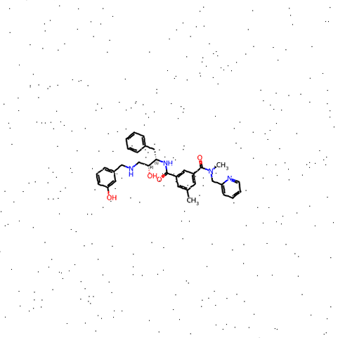 Cc1cc(C(=O)N[C@@H](Cc2ccccc2)[C@H](O)CNCc2cccc(O)c2)cc(C(=O)N(C)Cc2ccccn2)c1